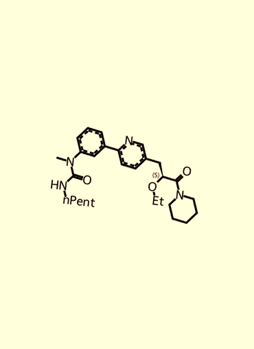 CCCCCNC(=O)N(C)c1cccc(-c2ccc(C[C@H](OCC)C(=O)N3CCCCC3)cn2)c1